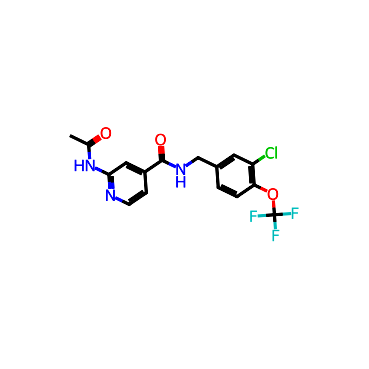 CC(=O)Nc1cc(C(=O)NCc2ccc(OC(F)(F)F)c(Cl)c2)ccn1